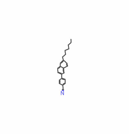 CCCCCCCc1ccc2cc(-c3ccc(C#N)cc3)ccc2c1